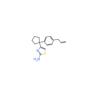 C=CCc1ccc(C2(c3csc(N)n3)CCCC2)cc1